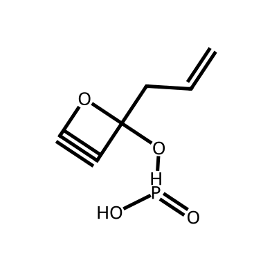 C=CCC1(O[PH](=O)O)C#CO1